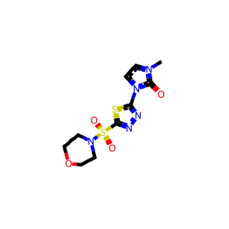 Cn1ccn(-c2nnc(S(=O)(=O)N3CCOCC3)s2)c1=O